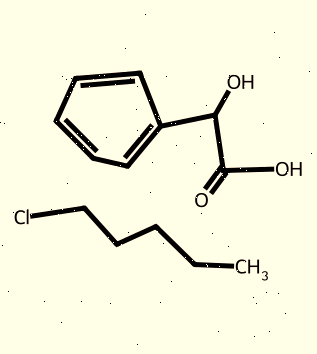 CCCCCCl.O=C(O)C(O)c1ccccc1